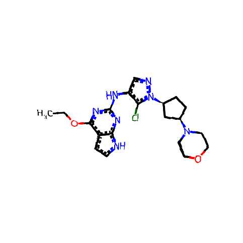 CCOc1nc(Nc2cnn([C@H]3CC[C@@H](N4CCOCC4)C3)c2Cl)nc2[nH]ccc12